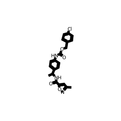 Cc1cc(C(=O)NC(C)c2ccc(NC(=O)OCc3ccc(Cl)cc3)cc2)on1